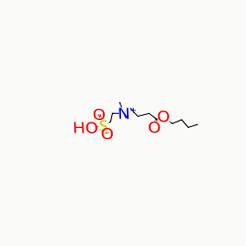 CCCCOC(=O)CCC[N+](C)(C)CCS(=O)(=O)O